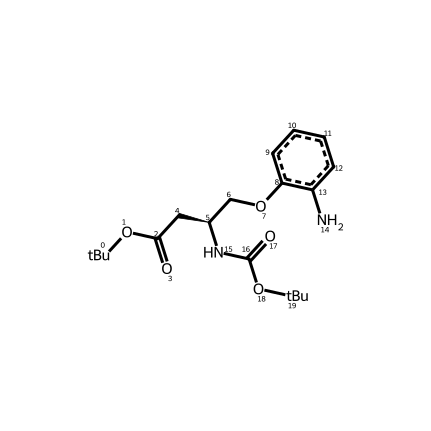 CC(C)(C)OC(=O)C[C@@H](COc1ccccc1N)NC(=O)OC(C)(C)C